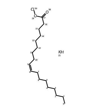 CCCCCCCC/C=C\CCCCCCCC(=O)OCl.[KH]